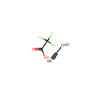 C#CC=O.O=C(O)C(F)(F)F